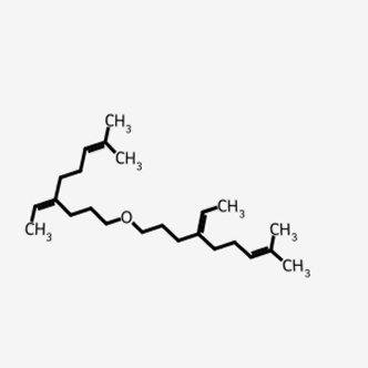 CC=C(CCC=C(C)C)CCCOCCCC(=CC)CCC=C(C)C